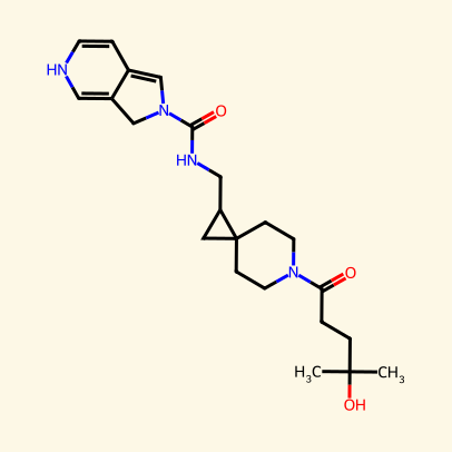 CC(C)(O)CCC(=O)N1CCC2(CC1)CC2CNC(=O)N1C=C2C=CNC=C2C1